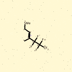 [CH2]SC/C=C(\C)C(F)(F)C(F)(F)C(F)(F)F